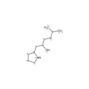 CC(C)OCC(O)CC1CCCN1